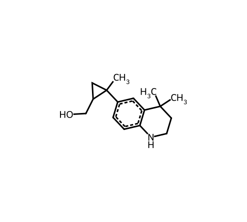 CC1(C)CCNc2ccc(C3(C)CC3CO)cc21